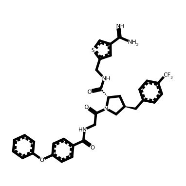 N=C(N)c1csc(CNC(=O)[C@@H]2C[C@@H](Cc3ccc(C(F)(F)F)cc3)CN2C(=O)CNC(=O)c2ccc(Oc3ccccc3)cc2)c1